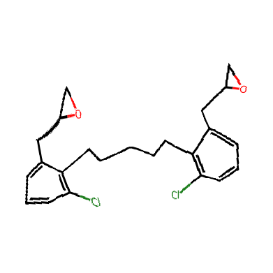 Clc1cccc(CC2CO2)c1CCCCCc1c(Cl)cccc1CC1CO1